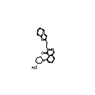 O=c1c2c(N3CCC[C@@H](O)C3)cccc2cnn1CCc1cn2ccccc2n1